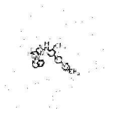 CCc1cc(N2CCC(N3CCN(C)CC3)CC2)ccc1Nc1ncc(C(F)(F)F)c(N2SN3CCc4cccc2c43)n1